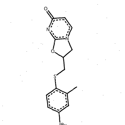 Cc1cc(C(C)(C)C)ccc1SCC1Cn2ccc(=O)nc2O1